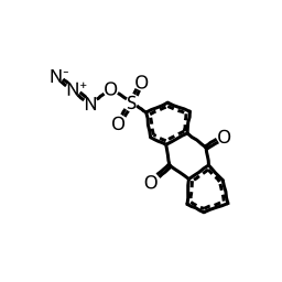 [N-]=[N+]=NOS(=O)(=O)c1ccc2c(c1)C(=O)c1ccccc1C2=O